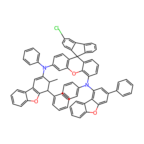 CC1C(N(c2ccccc2)c2ccc3c(c2)Oc2c(N(c4ccccc4)c4cc(-c5ccccc5)cc5oc6ccccc6c45)cccc2C32c3ccccc3-c3cc(Cl)ccc32)=Cc2c(oc3ccccc23)C1c1ccccc1